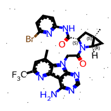 Cc1cc(C(F)(F)F)nc2c3c(N)ncnc3n(CC(=O)N3[C@H](C(=O)Nc4cccc(Br)n4)C[C@@]4(C)C[C@@H]34)c12